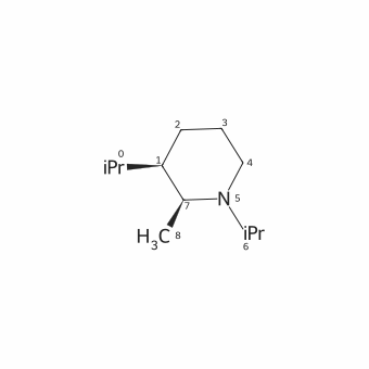 CC(C)[C@H]1CCCN(C(C)C)[C@H]1C